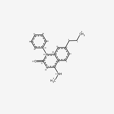 CCCc1ccc2c(NC)nc(=O)n(-c3ccccc3)c2c1